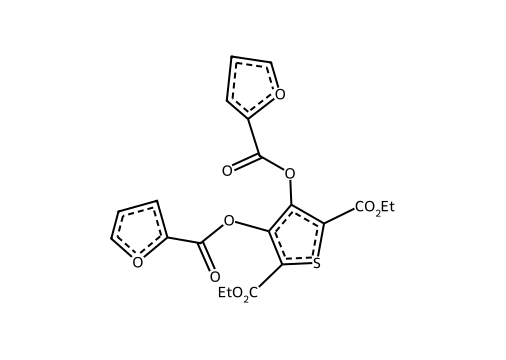 CCOC(=O)c1sc(C(=O)OCC)c(OC(=O)c2ccco2)c1OC(=O)c1ccco1